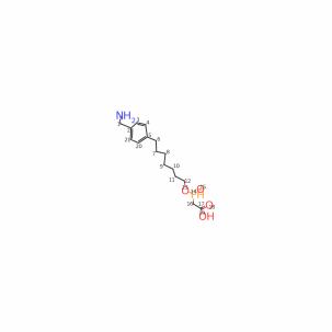 NCc1ccc(CCCCCCCO[PH](=O)CC(=O)O)cc1